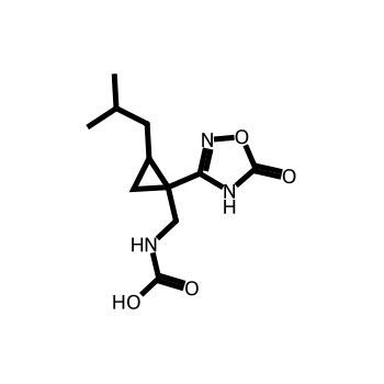 CC(C)CC1CC1(CNC(=O)O)c1noc(=O)[nH]1